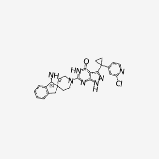 N[C@@H]1c2ccccc2CC12CCN(c1nc3[nH]nc(C4(c5ccnc(Cl)c5)CC4)c3c(=O)[nH]1)CC2